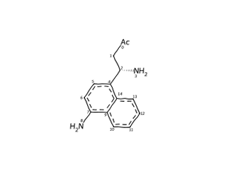 CC(=O)C[C@H](N)c1ccc(N)c2ccccc12